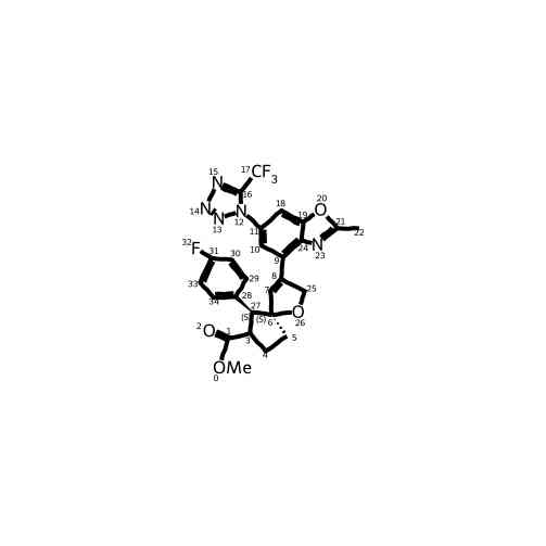 COC(=O)C1CC[C@@]2(C=C(c3cc(-n4nnnc4C(F)(F)F)cc4oc(C)nc34)CO2)[C@@H]1c1ccc(F)cc1